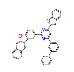 c1ccc(-c2cccc(-c3cc(-c4cc5ccccc5o4)nc(-c4ccc5oc6cc7ccccc7cc6c5c4)n3)c2)cc1